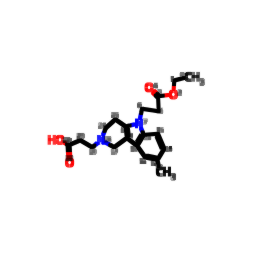 CCOC(=O)CCn1c2c(c3cc(C)ccc31)CN(CCC(=O)O)CC2